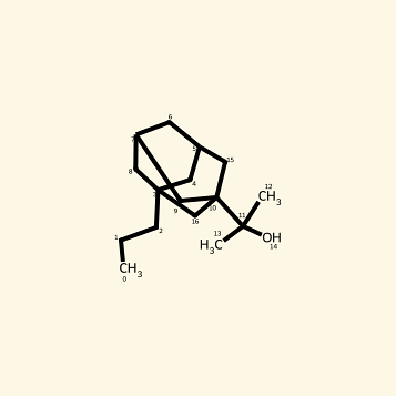 CCCC12CC3CC(C1)CC(C(C)(C)O)(C3)C2